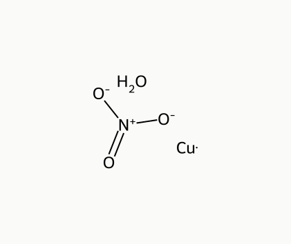 O.O=[N+]([O-])[O-].[Cu]